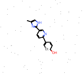 CC/C=C(\C=C/CO)c1ccc(-c2nc(C)c[nH]2)cn1